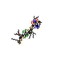 CCCCCCc1cc(C)sc1-c1cc2c(s1)-c1sc(-c3c(F)c(F)c(-c4cc5c(s4)-c4sc(-c6ccc(-c7c8c(c(-c9ccc(C)s9)c9nsnc79)C(=O)N(CC(CC)CCCC)C8=O)s6)cc4[Si]5(CC(CC)CCCC)CC(CC)CCCC)c(F)c3F)cc1[Si]2(CC(CC)CCCC)CC(CC)CCCC